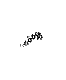 CN1C=CC(c2ccc(-c3ccc(N(C)C4C[C@H]5CCC[C@@H](C4)N5)nn3)c(O)c2)=NC1